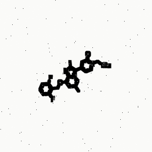 Cc1cc(OCc2c(F)cccc2F)c2nc(C)c(-c3ccn(CC(C)(C)C)c(=O)c3)n2c1